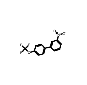 O=[N+]([O-])c1cccc(-c2ccc(OC(F)(F)F)cc2)c1